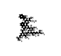 C[C@@H](NC(=O)[C@H](CS)NC(=O)[C@@H](N)CCCNC(=N)N)C(=O)N[C@@H](CCCNC(N)=O)C(=O)N[C@H](Cc1ccccc1)C(=O)N[C@@H](CCCNC(=N)N)C(=O)N[C@H](Cc1c[nH]c2ccccc12)C(=O)N[C@@H](CS)C(=O)O